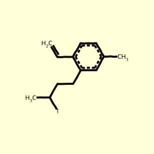 C=Cc1ccc(C)cc1CCC(C)I